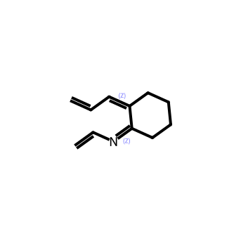 C=C/C=C1/CCCC/C1=N/C=C